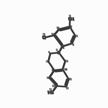 Oc1ccc(N2CCc3cc(O)ccc3C2)c(Cl)c1